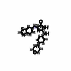 O=C1NC(Nc2ccc(N3CCOCC3)cc2)=N/C1=C\c1ccc2ncsc2c1